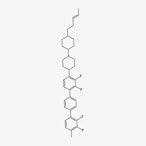 C/C=C/CCC1CCC(C2CCC(c3ccc(-c4ccc(-c5ccc(C)c(F)c5F)cc4)c(F)c3F)CC2)CC1